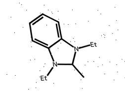 CCN1c2ccccc2N(CC)C1C